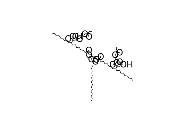 C=CC(=O)OCCOC(=O)CC(C(=O)O)C(/C=C/CCCCCCC)CCCCCCCC(=O)OCC(COC(=O)CCCCCCCC(/C=C/CCCCCCC)C(CC(=O)O)C(=O)OCCOC(=O)C=C)OC(=O)CCCCCCC/C=C/CCCCCCCC